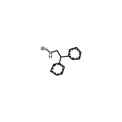 CCC(C)NCC(c1ccccc1)c1ccccc1